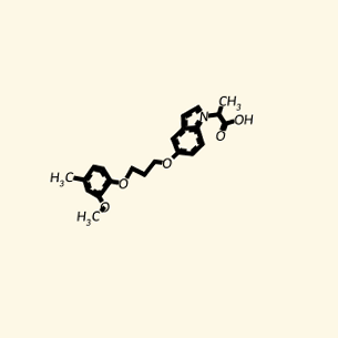 COc1cc(C)ccc1OCCCOc1ccc2c(ccn2C(C)C(=O)O)c1